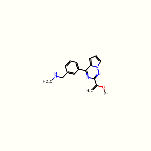 C=C(OCC)c1nc(-c2cccc(CNC(=O)O)c2)c2cccn2n1